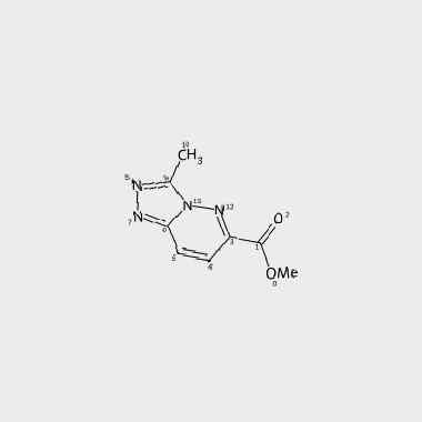 COC(=O)c1ccc2nnc(C)n2n1